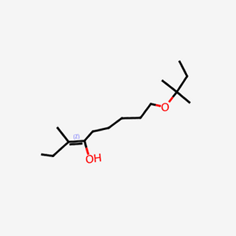 CC/C(C)=C(\O)CCCCCOC(C)(C)CC